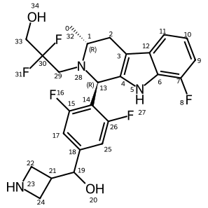 C[C@@H]1Cc2c([nH]c3c(F)cccc23)[C@@H](c2c(F)cc(C(O)C3CNC3)cc2F)N1CC(F)(F)CO